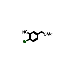 COCc1ccc(Br)c(C#N)c1